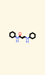 O=C(C=CNC1CCCCC1)NC1CCCCC1